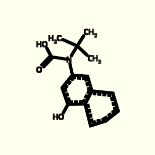 CC(C)(C)N(C(=O)O)c1cc(O)c2ccccc2c1